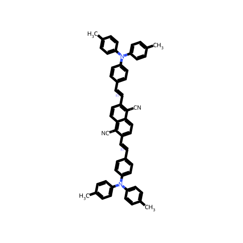 Cc1ccc(N(c2ccc(C)cc2)c2ccc(/C=C/c3ccc4c(C#N)c(/C=C/c5ccc(N(c6ccc(C)cc6)c6ccc(C)cc6)cc5)ccc4c3C#N)cc2)cc1